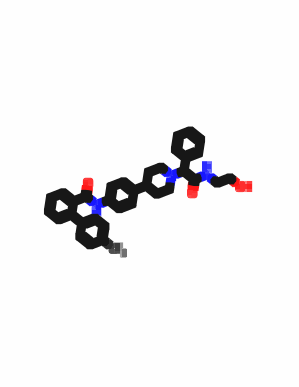 O=C(Nc1ccc(C2CCN(C(C(=O)NCCO)c3ccccc3)CC2)cc1)c1ccccc1-c1ccc(C(F)(F)F)cc1